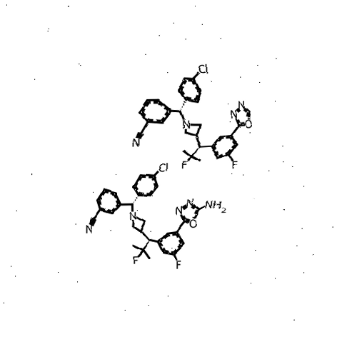 CC(C)(F)[C@H](c1cc(F)cc(-c2nnc(N)o2)c1)C1CN([C@@H](c2ccc(Cl)cc2)c2cccc(C#N)c2)C1.CC(C)(F)[C@H](c1cc(F)cc(-c2nnco2)c1)C1CN([C@@H](c2ccc(Cl)cc2)c2cccc(C#N)c2)C1